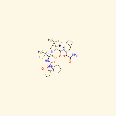 CC(C)(C)[C@H](NC(=O)NC1(C2CCCS2(=O)=O)CCCCC1)C(=O)N1CC2[C@@H]([C@H]1C(=O)NC(CC1CCC1)C(=O)C(N)=O)C2(C)C